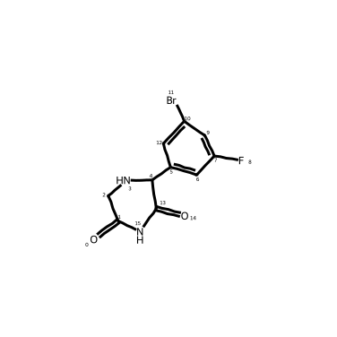 O=C1CNC(c2cc(F)cc(Br)c2)C(=O)N1